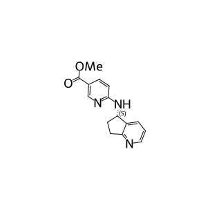 COC(=O)c1ccc(N[C@H]2CCc3ncccc32)nc1